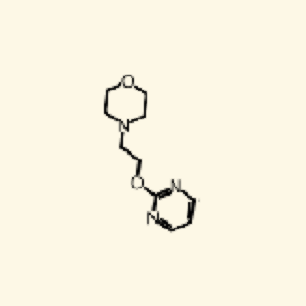 [c]1ccnc(OCCN2CCOCC2)n1